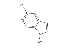 CC(C)n1ccc2cc(Cl)ncc21